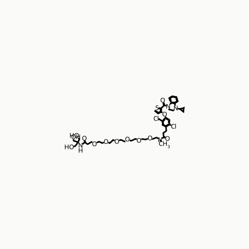 CN(CCOCCOCCOCCOCCOCCOCCC(=O)NC(CO)(CO)CO)C(=O)CCc1cc(Cl)c(Oc2ccsc2C(=O)N2CCN(C3CC3)c3ccccc32)cc1Cl